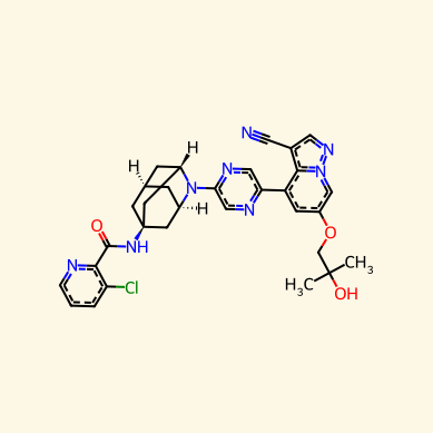 CC(C)(O)COc1cc(-c2cnc(N3[C@@H]4C[C@@H]5C[C@H]3C[C@@](NC(=O)c3ncccc3Cl)(C5)C4)cn2)c2c(C#N)cnn2c1